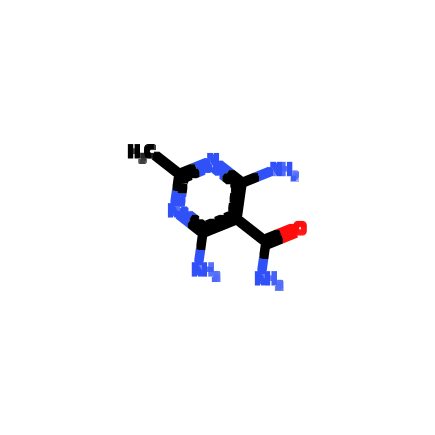 Cc1nc(N)c(C(N)=O)c(N)n1